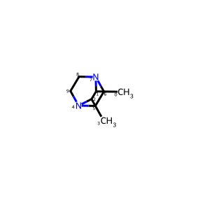 CC1C(C)N2CCN1CC2